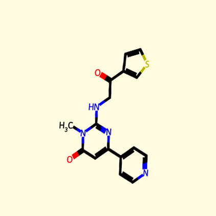 Cn1c(NCC(=O)c2ccsc2)nc(-c2ccncc2)cc1=O